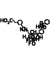 CC(C)(CCn1cnc(-c2cccc(CCC(=O)O)c2)c1)NCC(O)c1cccc(NS(=O)(=O)c2ccccc2)c1.O=C(O)C(F)(F)F